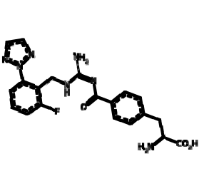 NC(=NC(=O)c1ccc(CC(N)C(=O)O)cc1)NCc1c(F)cccc1-n1nccn1